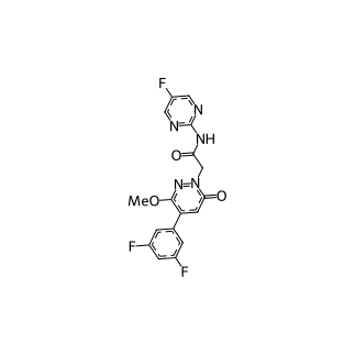 COc1nn(CC(=O)Nc2ncc(F)cn2)c(=O)cc1-c1cc(F)cc(F)c1